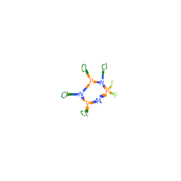 FP1(F)=NP(Cl)N(Cl)P(Cl)N1Cl